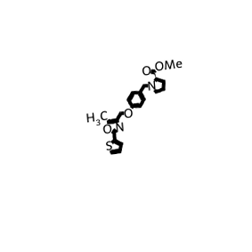 COC(=O)[C@@H]1CCCN1Cc1ccc(OCc2nc(-c3cccs3)oc2C)cc1